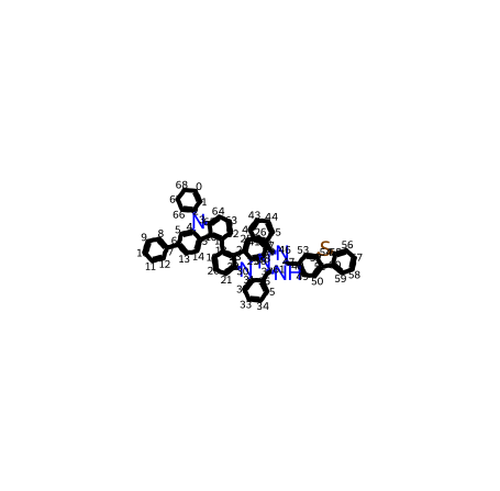 C1=CC(n2c3cc(-c4ccccc4)ccc3c3c(-c4cccc5c4c4ccccc4n5-c4ccccc4C4N=C(c5ccccc5)N=C(c5ccc6c(c5)sc5ccccc56)N4)cccc32)=CCC1